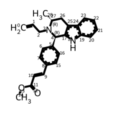 C=CCN1[C@H](c2ccc(C=CC(=O)OC)cc2)c2[nH]c3ccccc3c2C[C@H]1C